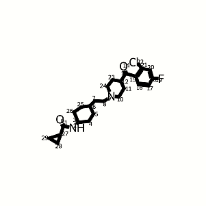 O=C(NC1CCC(CCN2CCC(C(=O)c3ccc(F)cc3Cl)CC2)CC1)C1CC1